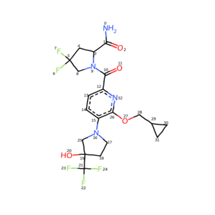 NC(=O)C1CC(F)(F)CN1C(=O)c1ccc(N2CCC(O)(C(F)(F)F)C2)c(OCC2CC2)n1